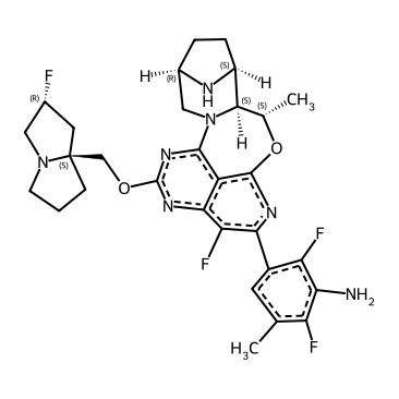 Cc1cc(-c2nc3c4c(nc(OC[C@@]56CCCN5C[C@H](F)C6)nc4c2F)N2C[C@H]4CC[C@H](N4)[C@H]2[C@H](C)O3)c(F)c(N)c1F